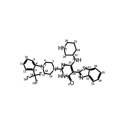 O=c1[nH]c(N2CCN(c3ccccc3C(F)(F)F)CC2)nc(N[C@@H]2CCCNC2)c1-c1nc2ccccc2s1